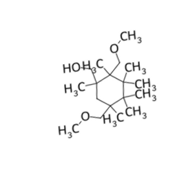 COCC1(C)CC(C)(CO)C(C)(COC)C(C)(C)C1(C)C